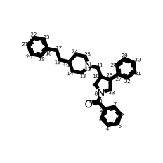 O=C(c1ccccc1)N1CC(CN2CCC(CCc3ccccc3)CC2)C(c2ccccc2)C1